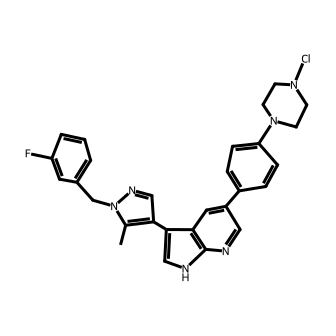 Cc1c(-c2c[nH]c3ncc(-c4ccc(N5CCN(Cl)CC5)cc4)cc23)cnn1Cc1cccc(F)c1